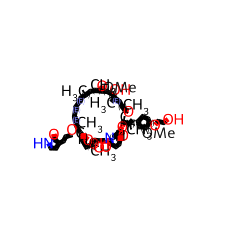 CO[C@@H]1C[C@H](C[C@@H](C)[C@@H]2CC(=O)[C@H](C)/C=C(\C)[C@@H](O)[C@@H](OC)C(=O)[C@H](C)C[C@H](C)/C=C/C=C/C=C(\C)C(OCCCC3CCNC3=O)C[C@@H]3CC[C@@H](C)[C@@](O)(O3)C(=O)C(=O)N3CCCC[C@H]3C(=O)O2)CC[C@H]1OCCO